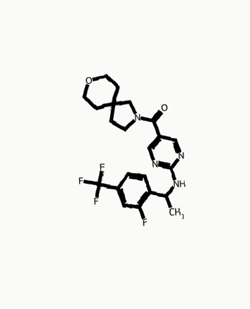 CC(Nc1ncc(C(=O)N2CCC3(CCOCC3)C2)cn1)c1ccc(C(F)(F)F)cc1F